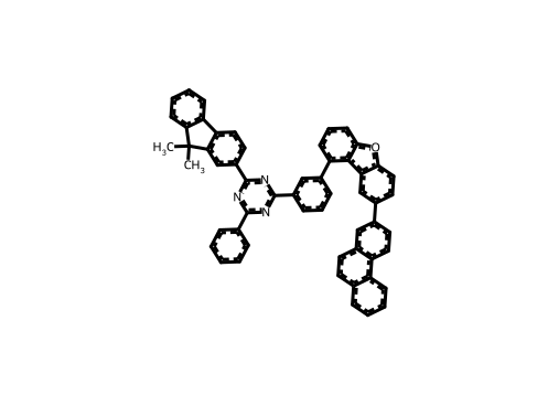 CC1(C)c2ccccc2-c2ccc(-c3nc(-c4ccccc4)nc(-c4cccc(-c5cccc6oc7ccc(-c8ccc9c(ccc%10ccccc%109)c8)cc7c56)c4)n3)cc21